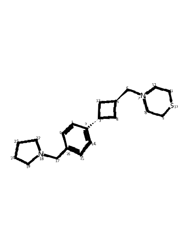 c1cc([C@H]2C[C@H](CN3CCSCC3)C2)ccc1CN1CCCC1